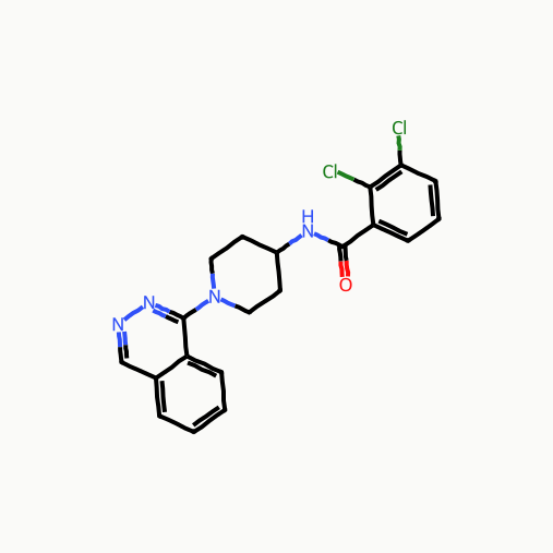 O=C(NC1CCN(c2nncc3ccccc23)CC1)c1cccc(Cl)c1Cl